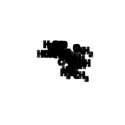 CC(C)C[C@H](NC(=O)[C@H](CO)NC(=O)[C@H](CCC(N)=O)NC(=O)[C@@H](NC(=O)[C@H](CO)NC(=O)[C@H](C)NC(=O)[C@@H](N)CO)C1CCCCC1)C(=O)O